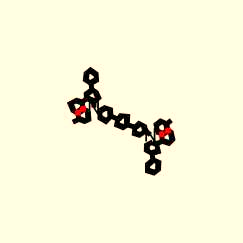 Cc1ccc(N(c2ccc(-c3ccc(-c4ccc(N(c5ccc(C)cc5)c5ccc(-c6ccccc6)cc5-c5ccccc5)cc4)cc3)cc2)c2ccc(-c3ccccc3)cc2-c2ccccc2)cc1